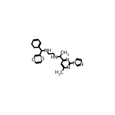 Cc1cc(C(C)NCCNC(C2=CC=CCC2)C2=COC=CO2)nc(-n2ccnc2)n1